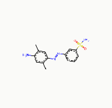 Cc1cc(N=Nc2cccc(S(N)(=O)=O)c2)c(C)cc1N